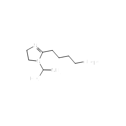 CCCCCCCCCCCC1=NCCN1C(C)N